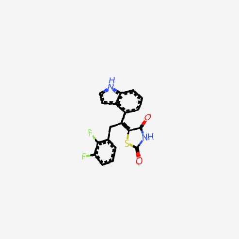 O=C1NC(=O)C(=C(Cc2cccc(F)c2F)c2cccc3[nH]ccc23)S1